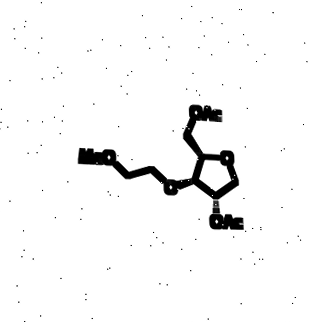 COCCO[C@@H]1[C@@H](OC(C)=O)CO[C@@H]1COC(C)=O